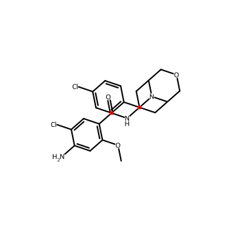 COc1cc(N)c(Cl)cc1C(=O)NC1CC2COCC(C1)N2Cc1ccc(Cl)cc1